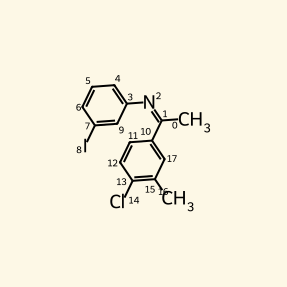 CC(=Nc1cccc(I)c1)c1ccc(Cl)c(C)c1